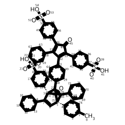 Cc1ccc([C@]23C=C(c4ccccc4)[C@](c4ccc(S(=O)(=O)O)cc4)(C2=O)C(c2ccc(C4=C(c5ccc(S(=O)(=O)O)cc5)C(=O)C(c5ccc(S(=O)(=O)O)cc5)=C4c4ccccc4)cc2)=C3c2ccccc2)cc1